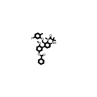 COc1ccc(OC(=O)c2ccccc2)cc1-c1ccc2c(c1COc1cc(F)ccc1C)N(C)C(=O)C(C)(C)N2